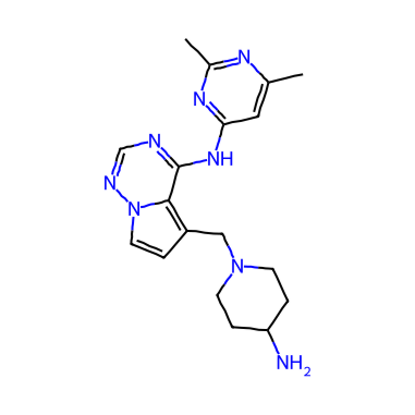 Cc1cc(Nc2ncnn3ccc(CN4CCC(N)CC4)c23)nc(C)n1